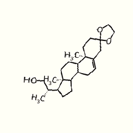 C[C@H](CO)C1CCC2C3CC=C4CC5(CC[C@]4(C)C3CC[C@@]21C)OCCO5